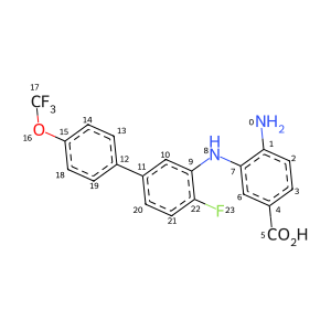 Nc1ccc(C(=O)O)cc1Nc1cc(-c2ccc(OC(F)(F)F)cc2)ccc1F